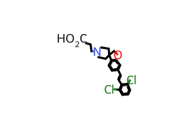 O=C(O)CCCN1CCC2(CC1)COc1cc(C=Cc3c(Cl)cccc3Cl)ccc12